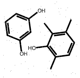 Cc1ccc(C)c(O)c1C.Oc1cccc(O)c1